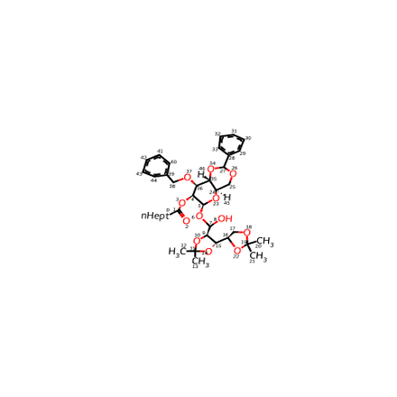 CCCCCCCC(=O)O[C@@H]1[C@H](OC(O)[C@@H]2OC(C)(C)O[C@H]2[C@H]2COC(C)(C)O2)O[C@@H]2COC(c3ccccc3)O[C@H]2[C@@H]1OCc1ccccc1